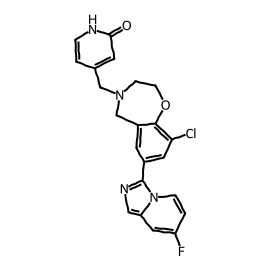 O=c1cc(CN2CCOc3c(Cl)cc(-c4ncc5cc(F)ccn45)cc3C2)cc[nH]1